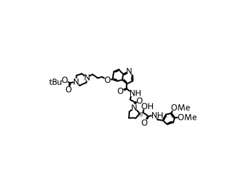 COc1ccc(CNC(=O)C(O)[C@@H]2CCCN2C(=O)CNC(=O)c2ccnc3ccc(OCCCN4CCN(C(=O)OC(C)(C)C)CC4)cc23)cc1OC